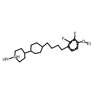 CCC[SiH]1CCC(C2CCC(CCCCc3ccc(OCC)c(F)c3F)CC2)CC1